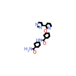 NC(=O)c1ccc(NC(=O)c2cccc(Oc3ncccc3-c3ccncn3)c2)cc1